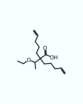 C=CCCCC(CCCC=C)(C(=O)O)C(C)OCC